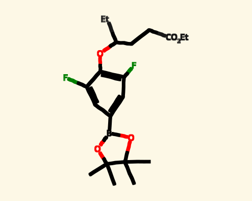 CCOC(=O)CCC(CC)Oc1c(F)cc(B2OC(C)(C)C(C)(C)O2)cc1F